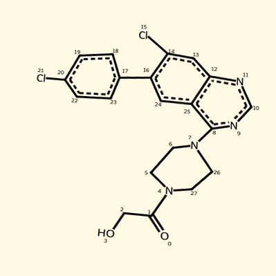 O=C(CO)N1CCN(c2ncnc3cc(Cl)c(-c4ccc(Cl)cc4)cc23)CC1